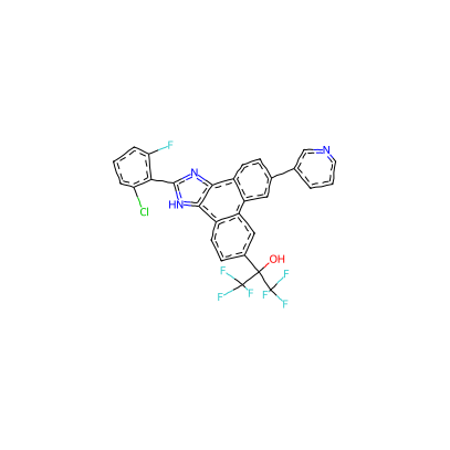 OC(c1ccc2c(c1)c1cc(-c3cccnc3)ccc1c1nc(-c3c(F)cccc3Cl)[nH]c21)(C(F)(F)F)C(F)(F)F